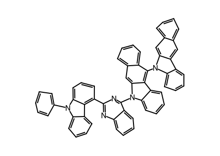 c1ccc(-n2c3ccccc3c3c(-c4nc(-n5c6ccccc6c6c(-n7c8ccccc8c8cc9ccccc9cc87)c7ccccc7cc65)c5ccccc5n4)cccc32)cc1